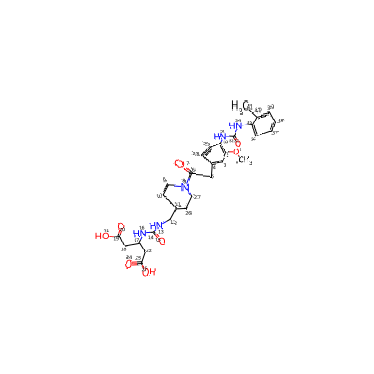 COc1cc(CC(=O)N2CCC(CNC(=O)NC(CC(=O)O)CC(=O)O)CC2)ccc1NC(=O)Nc1ccccc1C